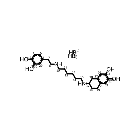 Br.Br.Oc1ccc(CCNCCCCCCNC2CCc3cc(O)c(O)cc3C2)cc1O